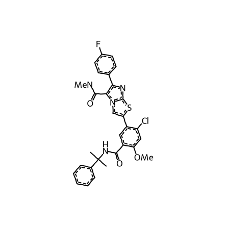 CNC(=O)c1c(-c2ccc(F)cc2)nc2sc(-c3cc(C(=O)NC(C)(C)c4ccccc4)c(OC)cc3Cl)cn12